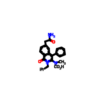 CC(C)Cn1c(N(C)C(=O)O)c(-c2ccccc2)c2cc(CC(N)=O)ccc2c1=O